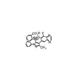 COc1c(-c2c(C)nn(-c3ccccc3)c2Nc2ccccc2C(=O)O)cc2nccnc2c1F